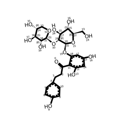 O=C(CCc1ccc(O)cc1)c1c(O)cc(O)cc1O[C@@H]1O[C@H](CO)[C@@H](O)[C@H](O)[C@H]1O[C@@H]1OC[C@@H](O)[C@H](O)[C@H]1O